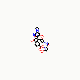 [N-]=[N+]=C1C(=O)c2ccc(C(=O)ON3C(=O)CCC3=O)cc2C12c1ccc(N3CCC3)cc1Oc1cc(N3CCC3)ccc12